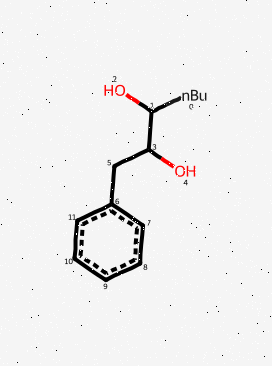 CCCCC(O)C(O)Cc1ccccc1